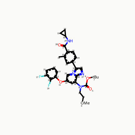 COCCN(C(=O)OC(C)(C)C)c1cc(Oc2cccc(F)c2F)cn2c(-c3ccc(C(=O)NC4CC4)c(C)c3)cnc12